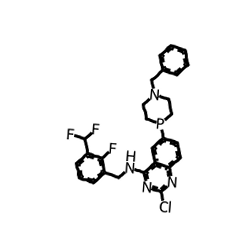 Fc1c(CNc2nc(Cl)nc3ccc(P4CCN(Cc5ccccc5)CC4)cc23)cccc1C(F)F